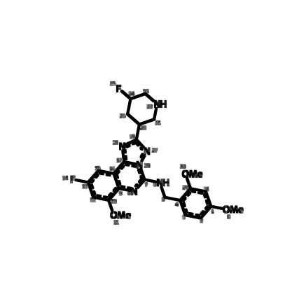 COc1ccc(CNc2nc3c(OC)cc(F)cc3c3nc(C4CNCC(F)C4)nn23)c(OC)c1